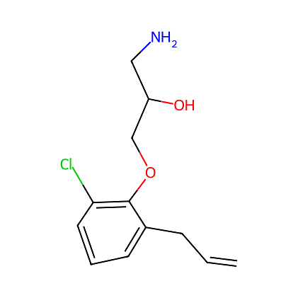 C=CCc1cccc(Cl)c1OCC(O)CN